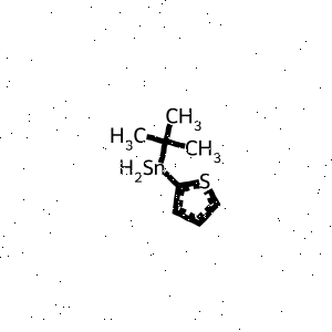 C[C](C)(C)[SnH2][c]1cccs1